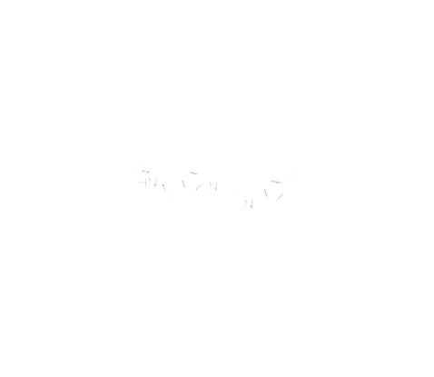 COc1ccc(CN(C)CC2CCN(c3ccc(C4CCC(=O)NC4=O)cc3F)CC2)cc1